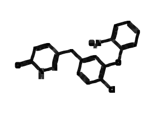 O=c1ccc(Cc2ccc(Cl)c(Oc3ccccc3[N+](=O)[O-])c2)n[nH]1